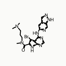 CN(C)CCCN(C)C(=O)c1[nH]c2ncnc(Nc3cc4cn[nH]c4cn3)c2c1Br